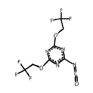 O=C=Nc1nc(OCC(F)(F)F)nc(OCC(F)(F)F)n1